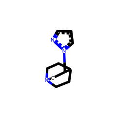 c1cnn(C2CN3CCC2CC3)c1